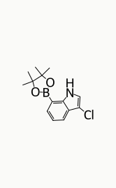 CC1(C)OB(c2cccc3c(Cl)c[nH]c23)OC1(C)C